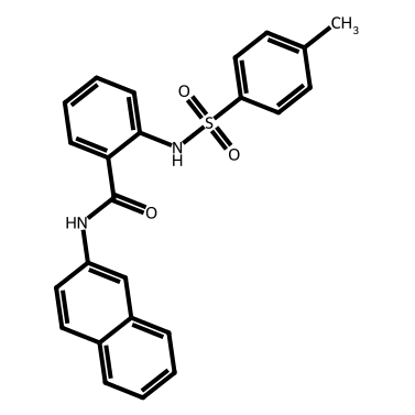 Cc1ccc(S(=O)(=O)Nc2ccccc2C(=O)Nc2ccc3ccccc3c2)cc1